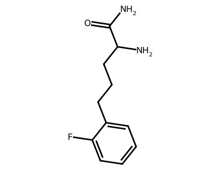 NC(=O)C(N)CCCc1ccccc1F